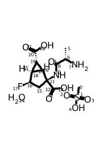 CS(=O)(=O)O.C[C@H](N)C(=O)N[C@@]1(C(=O)O)C[C@@H](F)[C@H]2[C@H](C(=O)O)[C@H]21.O